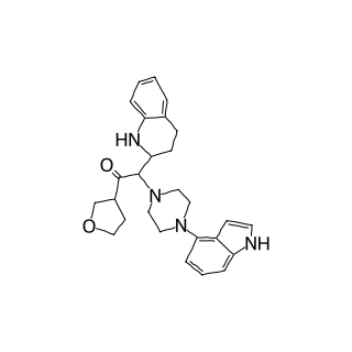 O=C(C1CCOC1)C(C1CCc2ccccc2N1)N1CCN(c2cccc3[nH]ccc23)CC1